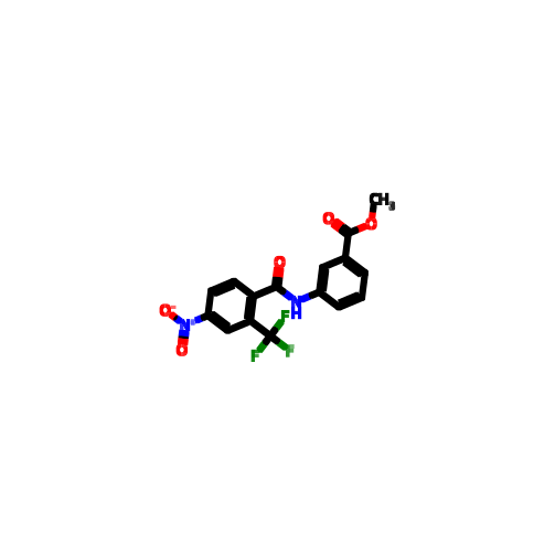 COC(=O)c1cccc(NC(=O)c2ccc([N+](=O)[O-])cc2C(F)(F)F)c1